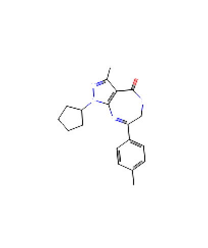 CCc1nn(C2CCCC2)c2c1C(=O)NCC(c1ccc(C)cc1)=N2